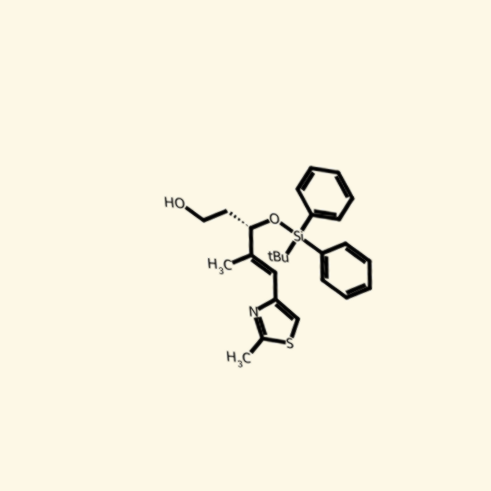 CC(=Cc1csc(C)n1)[C@H](CCO)O[Si](c1ccccc1)(c1ccccc1)C(C)(C)C